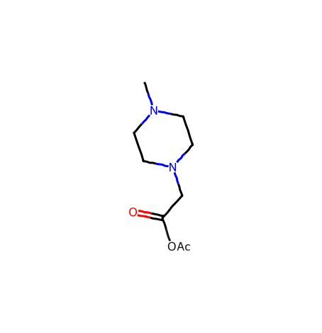 CC(=O)OC(=O)CN1CCN(C)CC1